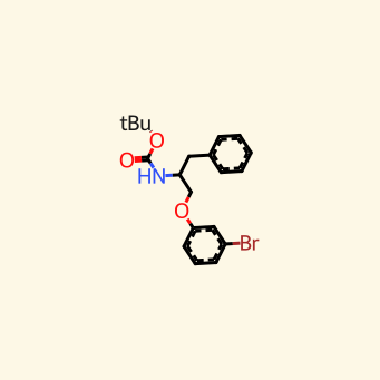 CC(C)(C)OC(=O)NC(COc1cccc(Br)c1)Cc1ccccc1